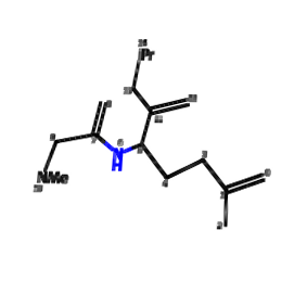 C=C(C)CCC(NC(=C)CNC)C(=C)CC(C)C